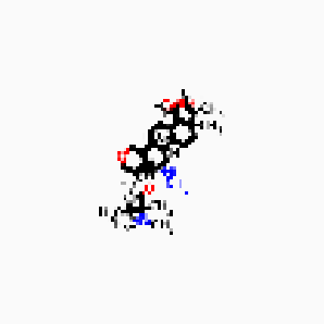 CN[C@@](C)(CO[C@H]1[C@H](NN)C[C@@]23COC[C@]1(C)[C@@H]2CC[C@H]1C3=CC[C@@]2(C)[C@H](C(=O)O)[C@@](C)([C@H](C)C(C)C)CC[C@]12C)C(C)(C)C